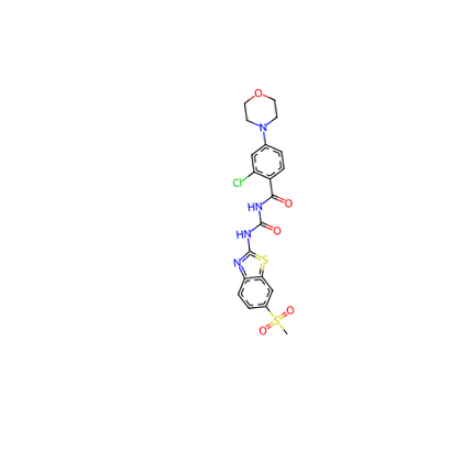 CS(=O)(=O)c1ccc2nc(NC(=O)NC(=O)c3ccc(N4CCOCC4)cc3Cl)sc2c1